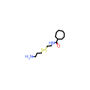 NCCCSSCCNC(=O)C1CCCCCCC1